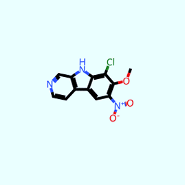 COc1c([N+](=O)[O-])cc2c([nH]c3cnccc32)c1Cl